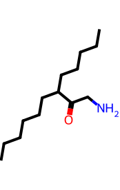 CCCCCCC(CCCCC)C(=O)CN